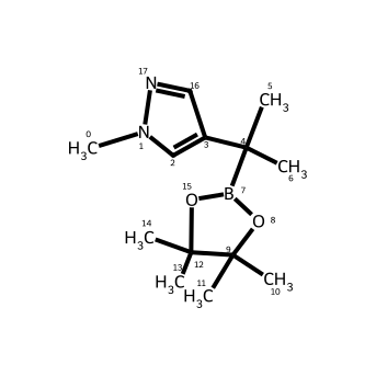 Cn1cc(C(C)(C)B2OC(C)(C)C(C)(C)O2)cn1